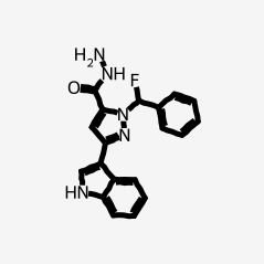 NNC(=O)c1cc(-c2c[nH]c3ccccc23)nn1C(F)c1ccccc1